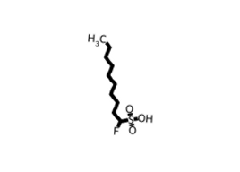 CCCCCCCCCC(F)S(=O)(=O)O